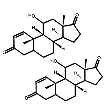 C[C@]12C=CC(=O)CC1CC[C@@H]1[C@H]2C(O)C[C@]2(C)C(=O)CC[C@@H]12.C[C@]12C=CC(=O)CC1CC[C@@H]1[C@H]2C(O)C[C@]2(C)C(=O)CC[C@@H]12